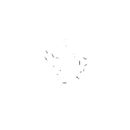 CC(=O)c1cc2cccc(OCC(O)CNC(C)C)c2o1.C[C@H]1C[C@H]2[C@@H]3CCC4=CC(=O)C=C[C@]4(C)[C@@]3(F)[C@@H](O)C[C@]2(C)[C@@]1(O)C(=O)CO